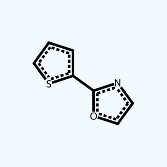 c1csc(-c2ncco2)c1